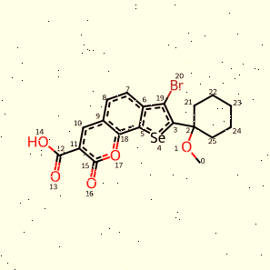 COC1(c2[se]c3c(ccc4cc(C(=O)O)c(=O)oc43)c2Br)CCCCC1